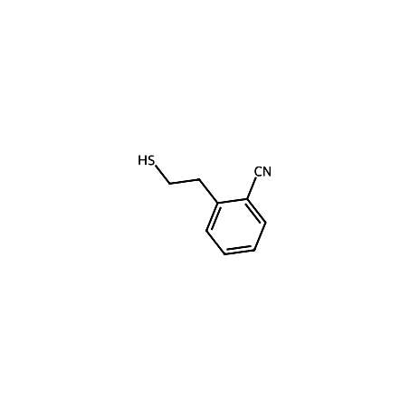 N#Cc1ccccc1CCS